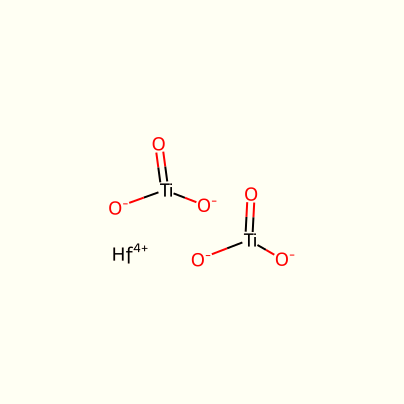 [Hf+4].[O]=[Ti]([O-])[O-].[O]=[Ti]([O-])[O-]